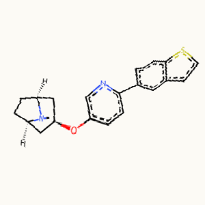 CN1[C@@H]2CC[C@H]1C[C@@H](Oc1ccc(-c3ccc4sccc4c3)nc1)C2